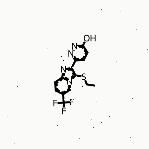 CCSc1c(-c2ccc(O)nn2)nc2ccc(C(F)(F)F)cn12